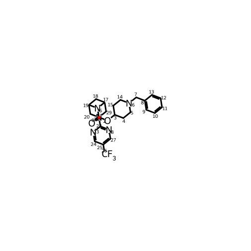 O=C(OC1CCN(Cc2ccccc2)CC1)N1C2CC1CN(c1ncc(C(F)(F)F)cn1)C2